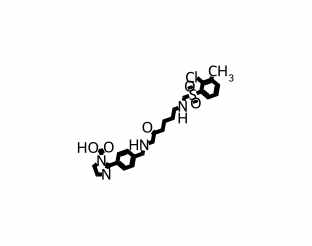 Cc1cccc(S(=O)(=O)CNCCCCC(=O)CNCc2ccc(C3=NCCN3C(=O)O)cc2)c1Cl